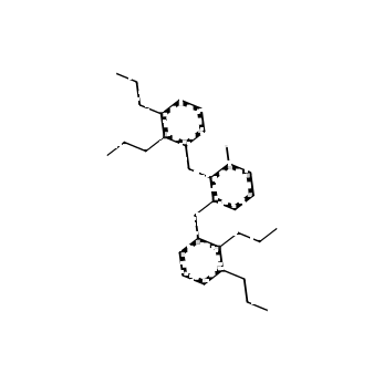 CCCc1cccc(Cc2cccc(O)c2Cc2cccc(CCC)c2CCC)c1CCC